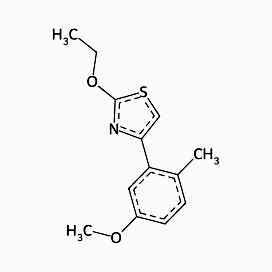 CCOc1nc(-c2cc(OC)ccc2C)cs1